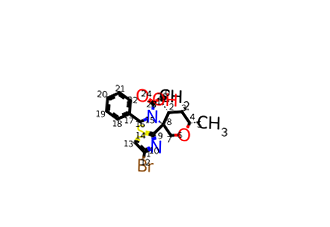 C=C[C@@H]1C[C@H](C)OC[C@]1(c1nc(Br)cs1)N(Cc1ccccc1)C(=O)O